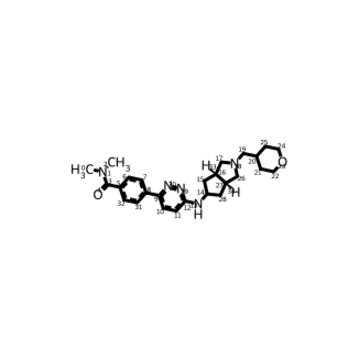 CN(C)C(=O)c1ccc(-c2ccc(NC3C[C@@H]4CN(CC5CCOCC5)C[C@@H]4C3)nn2)cc1